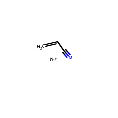 C=CC#N.[Na]